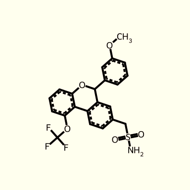 COc1cccc(C2Oc3cccc(OC(F)(F)F)c3-c3ccc(CS(N)(=O)=O)cc32)c1